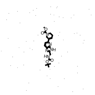 COC(=O)N1CCC=C(c2ccc3nc(CNC(=O)OC(C)(C)C)[nH]c3n2)C1